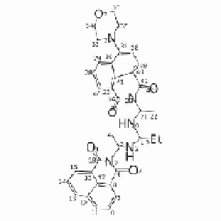 CCC(NC(C)N1C(=O)c2cccc3cccc(c23)C1=O)NC(C)N1C(=O)c2cccc3c(N4CCOCC4)ccc(c23)C1=O